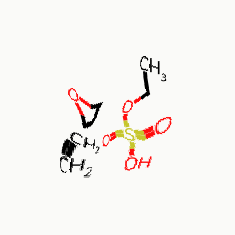 C1CO1.C=C.CCOS(=O)(=O)O